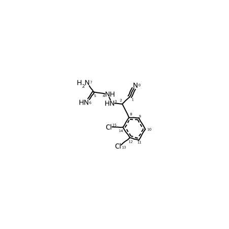 N#CC(NNC(=N)N)c1cccc(Cl)c1Cl